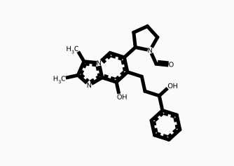 Cc1nc2c(O)c(CCC(O)c3ccccc3)c(C3CCCN3C=O)cn2c1C